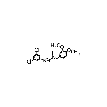 COc1ccc(CNCCNc2cc(Cl)cc(Cl)c2)cc1OC